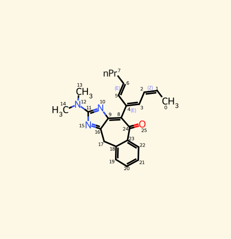 C\C=C/C=C(\C=C\CCC)C1=C2N=C(N(C)C)N=C2Cc2ccccc2C1=O